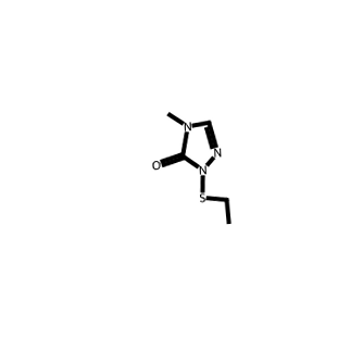 CCSn1ncn(C)c1=O